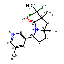 CC(F)(F)C1(C)C[C@@H]2CC[C@H](c3cncc(C#N)c3)N2C1=O